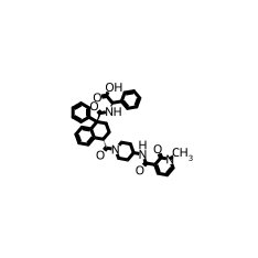 Cn1cccc(C(=O)NC2CCN(C(=O)[C@H]3CC[C@@](C(=O)N[C@H](C(=O)O)c4ccccc4)(c4ccccc4)c4ccccc43)CC2)c1=O